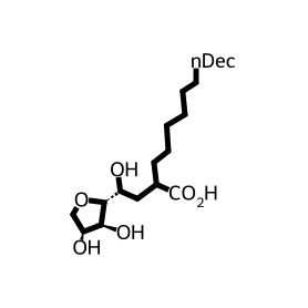 CCCCCCCCCCCCCCCCC(CC(O)[C@H]1OC[C@@H](O)[C@@H]1O)C(=O)O